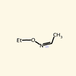 C/C=N\OCC